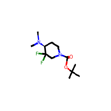 CN(C)[C@H]1CCN(C(=O)OC(C)(C)C)CC1(F)F